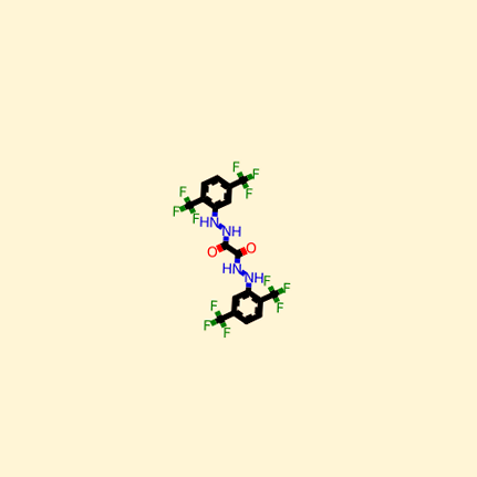 O=C(NNc1cc(C(F)(F)F)ccc1C(F)(F)F)C(=O)NNc1cc(C(F)(F)F)ccc1C(F)(F)F